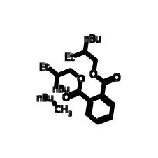 CCCCC.CCCCC(CC)COC(=O)c1ccccc1C(=O)OCC(CC)CCCC